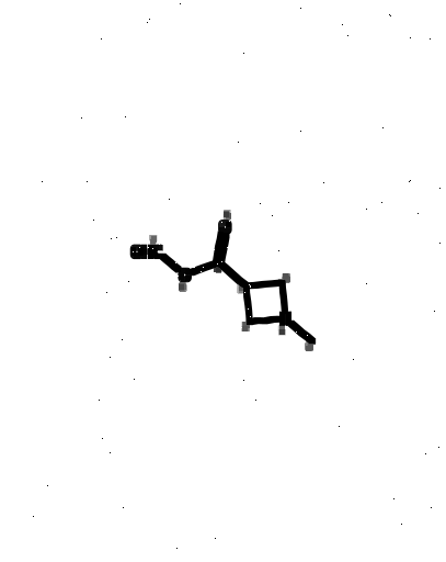 CN1CC(C(=O)OC=O)C1